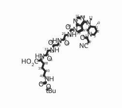 C[C@@H]1CCN(C(=O)CC#N)C[C@@H]1N(C)c1ncnc2c1ccn2C(=O)NCC(=O)NCC(=O)NCC(=O)NC(CCCCNC(=O)OC(C)(C)C)C(=O)O